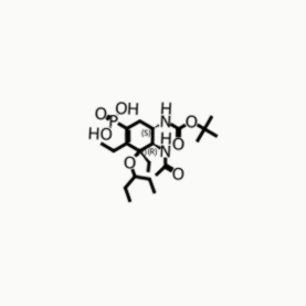 CCC1=C(P(=O)(O)O)C[C@H](NC(=O)OC(C)(C)C)[C@@H](NC(C)=O)[C@]1(CC)OC(CC)CC